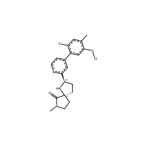 CCOc1cc(-c2ccnc([C@H]3CC[C@@]4(CCN(C)C4=O)N3)c2)c(F)cc1C